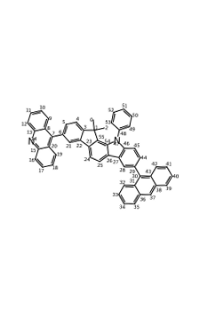 CC1(C)c2ccc(-c3c4ccccc4nc4ccccc34)cc2-c2ccc3c4cc(-c5c6ccccc6cc6ccccc56)ccc4n(-c4ccccc4)c3c21